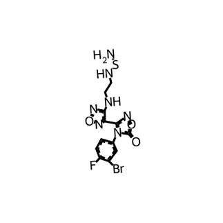 NSNCCNc1nonc1-c1noc(=O)n1-c1ccc(F)c(Br)c1